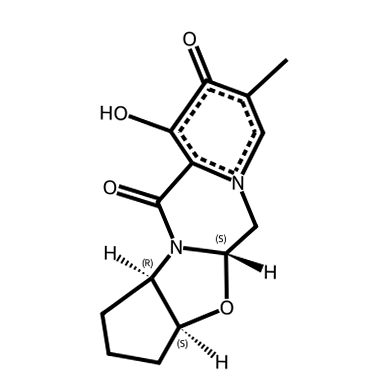 Cc1cn2c(c(O)c1=O)C(=O)N1[C@H](C2)O[C@H]2CCC[C@H]21